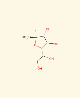 C[C@@]1(C(=O)O)O[C@@H](C(O)CO)[C@H](O)[C@H]1O